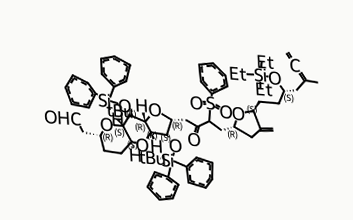 C=C=C(C)C[C@H](CC[C@@H]1O[C@@H](CC(C(=O)C[C@H]2O[C@H]3[C@@H](O[Si](c4ccccc4)(c4ccccc4)C(C)(C)C)[C@H]4O[C@@H](CC=O)CC[C@@H]4O[C@H]3[C@H]2O[Si](c2ccccc2)(c2ccccc2)C(C)(C)C)S(=O)(=O)c2ccccc2)CC1=C)O[Si](CC)(CC)CC